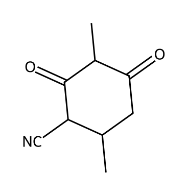 CC1C(=O)CC(C)C(C#N)C1=O